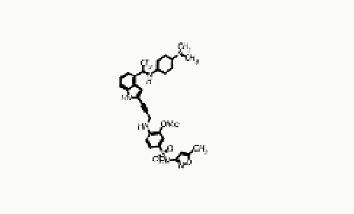 COc1cc(S(=O)(=O)Nc2cc(C)on2)ccc1NCC#Cc1cc2c(C(NC3CCC(N(C)C)CC3)C(F)(F)F)cccc2[nH]1